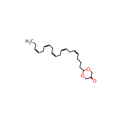 CC/C=C\C/C=C\C/C=C\C/C=C\C/C=C\CCCC1OCC(=O)CO1